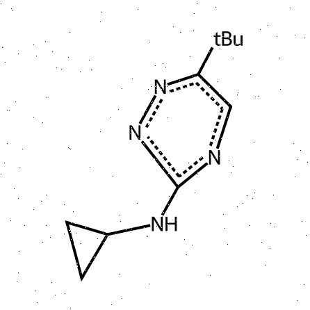 CC(C)(C)c1cnc(NC2CC2)nn1